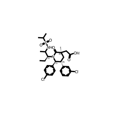 CC[C@@H](C(C)NS(=O)(=O)C(C)C)N1C(=O)[C@@](C)(CC(=O)O)C[C@H](c2cccc(Cl)c2)[C@H]1c1ccc(Cl)cc1